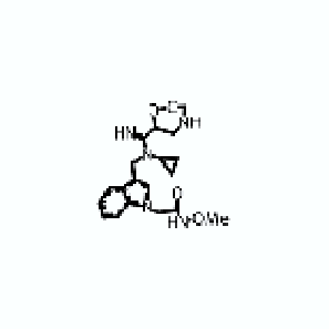 CONC(=O)Cn1cc(CN(C(=N)C2CNCCO2)C2CC2)c2ccccc21